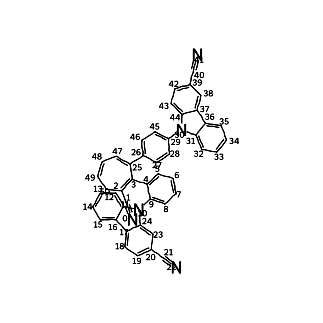 N#CC1=C(c2ccccc2-n2c3ccccc3c3ccc(C#N)cc32)C(c2ccc(-n3c4ccccc4c4cc(C#N)ccc43)cc2)=CC=CC1